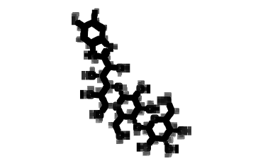 Cc1cc2nc(C(O)[C@@H](O)[C@H](O[C@H]3OC(CO)[C@@H](O[C@H]4OC(CO)[C@@H](O)[C@H](O)C4O)[C@H](O)C3O)C(O)CO)[nH]c2cc1F